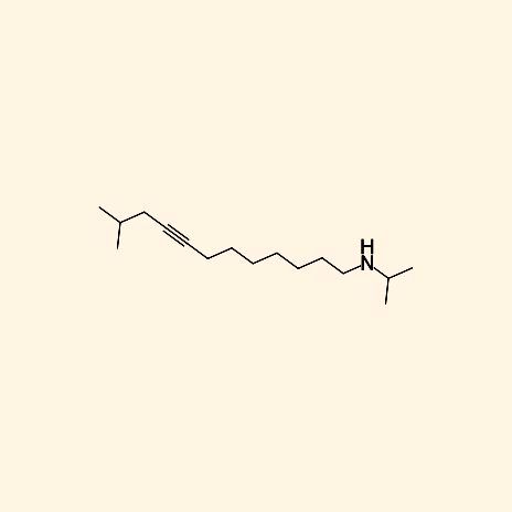 CC(C)CC#CCCCCCCCNC(C)C